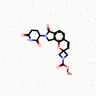 CC(C)(C)OC(=O)N1CC2(C=Cc3ccc4c(c3O2)CN(C2CCC(=O)NC2=O)C4=O)C1